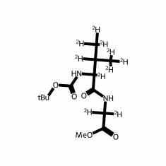 [2H]C([2H])(NC(=O)C([2H])(NC(=O)OC(C)(C)C)C([2H])(C([2H])([2H])[2H])C([2H])([2H])[2H])C(=O)OC